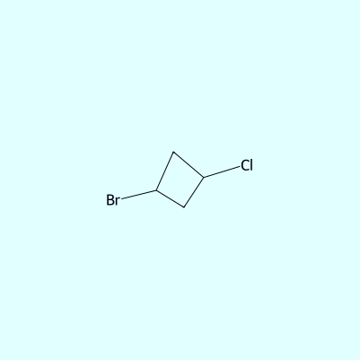 ClC1CC(Br)C1